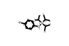 CC(C)[Si](Oc1ccc(F)cc1)(C(C)C)C(C)C